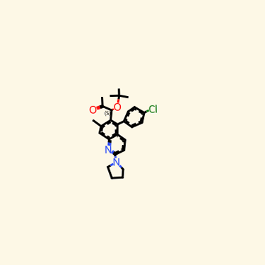 CC(=O)[C@@H](OC(C)(C)C)c1c(C)cc2nc(N3CCCC3)ccc2c1-c1ccc(Cl)cc1